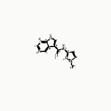 CC(C)n1ccc(NC(=O)c2coc3ncncc23)n1